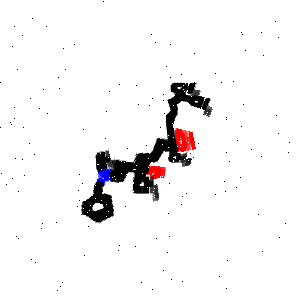 CC(C)CCCC(C)(O)CCCC(C)(O)CCN(C)Cc1ccccc1